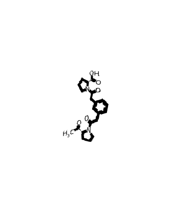 CC(=O)[C@H]1CCCN1C(=O)Cc1cccc(CC(=O)N2CCC[C@@H]2C(=O)O)c1